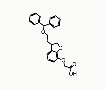 O=C(O)COc1cccc2c1OCC2CCOC(c1ccccc1)c1ccccc1